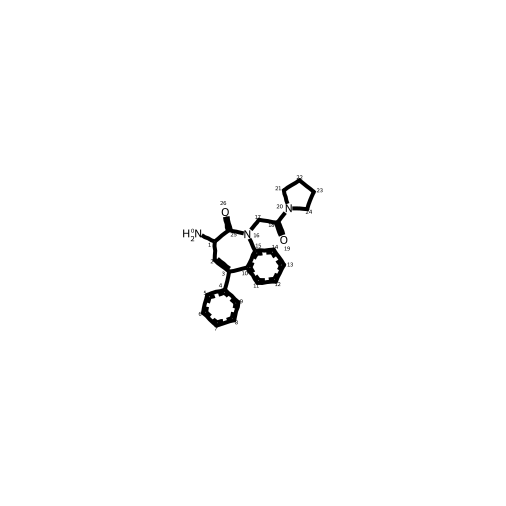 NC1C=C(c2ccccc2)c2ccccc2N(CC(=O)N2CCCC2)C1=O